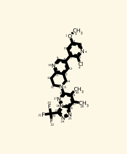 COc1cnc(Cl)c(-c2cnc3c(c2)CN(c2nn4c(C(F)(F)F)nnc4c(C)c2C)CC3)c1